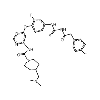 CN(C)CC1CCN(C(=O)Nc2cc(Oc3ccc(NC(=S)NC(=O)Cc4ccc(F)cc4)cc3F)ncn2)CC1